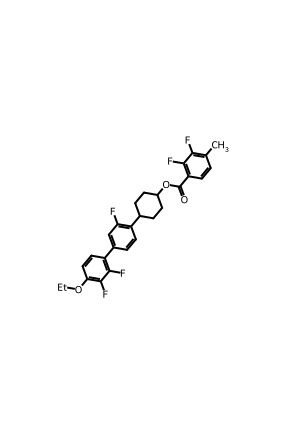 CCOc1ccc(-c2ccc(C3CCC(OC(=O)c4ccc(C)c(F)c4F)CC3)c(F)c2)c(F)c1F